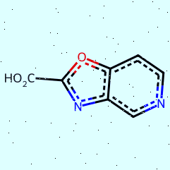 O=C(O)c1nc2cnccc2o1